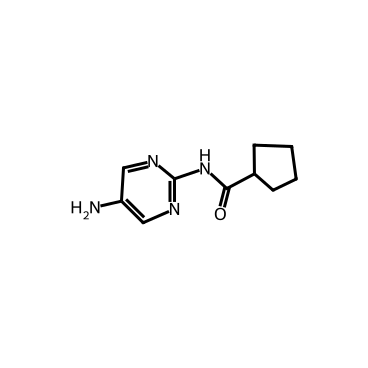 Nc1cnc(NC(=O)C2CCCC2)nc1